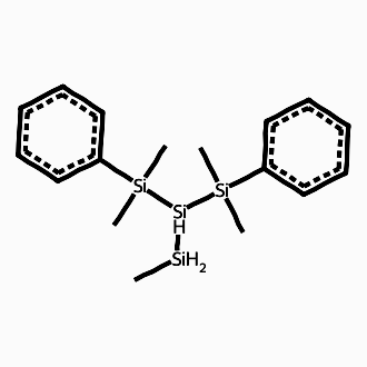 C[SiH2][SiH]([Si](C)(C)c1ccccc1)[Si](C)(C)c1ccccc1